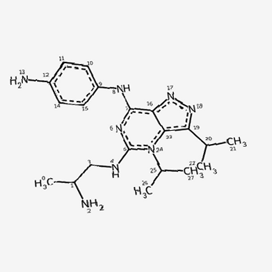 CC(N)CNc1nc(Nc2ccc(N)cc2)c2nnc(C(C)C)c-2n1C(C)C